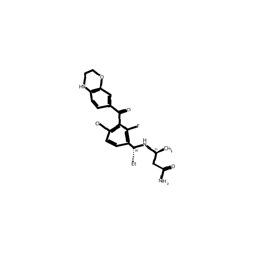 CC[C@@H](N[C@@H](C)CC(N)=O)c1ccc(Cl)c(C(=O)c2ccc3c(c2)OCCN3)c1F